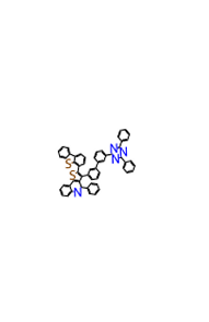 c1ccc(-c2nc(-c3ccccc3)nc(-c3cccc(-c4cccc(-c5c(-c6cccc7c6sc6ccccc67)sc6c5c(-c5ccccc5)nc5ccccc56)c4)c3)n2)cc1